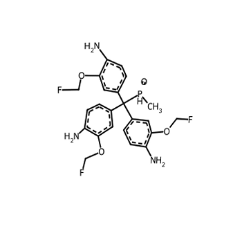 C[PH](=O)C(c1ccc(N)c(OCF)c1)(c1ccc(N)c(OCF)c1)c1ccc(N)c(OCF)c1